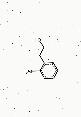 OCCc1ccccc1[AsH2]